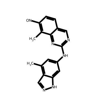 Cc1cc(Nc2ncc3ccc(N=O)c(C)c3n2)cc2[nH]ncc12